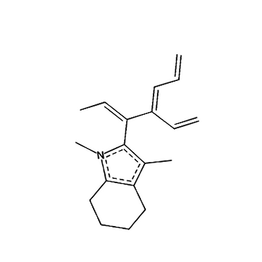 C=C/C=C(C=C)/C(=C/C)c1c(C)c2c(n1C)CCCC2